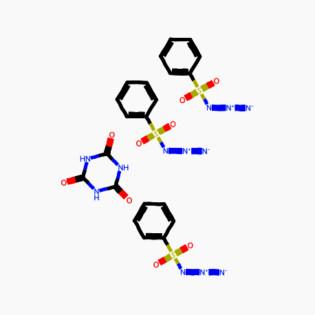 O=c1[nH]c(=O)[nH]c(=O)[nH]1.[N-]=[N+]=NS(=O)(=O)c1ccccc1.[N-]=[N+]=NS(=O)(=O)c1ccccc1.[N-]=[N+]=NS(=O)(=O)c1ccccc1